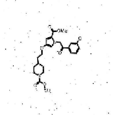 COC(=O)c1cc(OCCC2CCN(C(=O)OC(C)(C)C)CC2)cn1CC(=O)c1cccc(Cl)c1